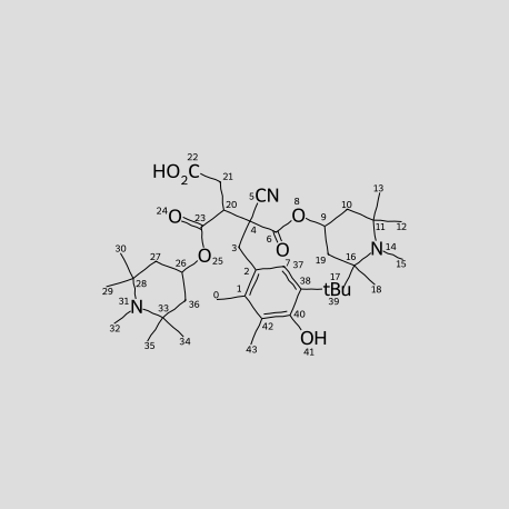 Cc1c(CC(C#N)(C(=O)OC2CC(C)(C)N(C)C(C)(C)C2)C(CC(=O)O)C(=O)OC2CC(C)(C)N(C)C(C)(C)C2)cc(C(C)(C)C)c(O)c1C